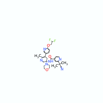 CC1=C(c2ccc(OCC(F)F)nc2)CC(NC(=O)c2ccnc(C(C)(C)C#N)c2)(N2CCOCC2)C=N1